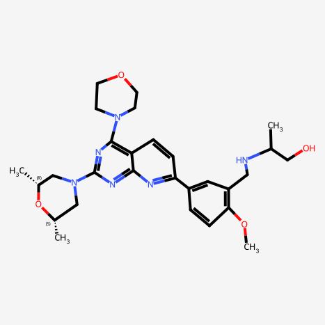 COc1ccc(-c2ccc3c(N4CCOCC4)nc(N4C[C@@H](C)O[C@@H](C)C4)nc3n2)cc1CNC(C)CO